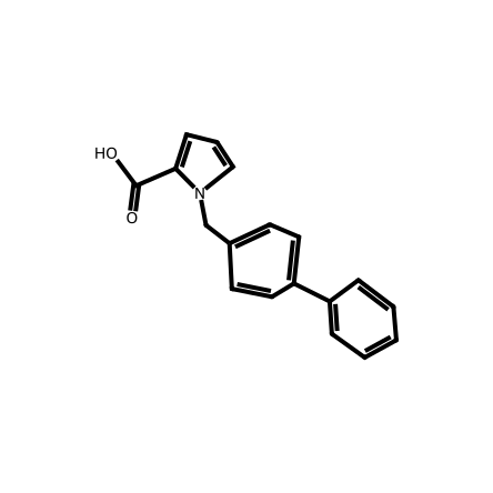 O=C(O)c1cccn1Cc1ccc(-c2ccccc2)cc1